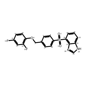 O=S(=O)(c1ccc(COc2ccc(F)cc2F)cc1)c1cccc2[nH]cnc12